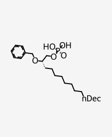 CCCCCCCCCCCCCCCCCC[C@@H](COP(=O)(O)O)OCc1ccccc1